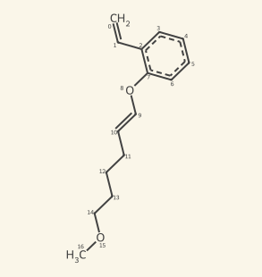 C=Cc1ccccc1OC=CCCCCOC